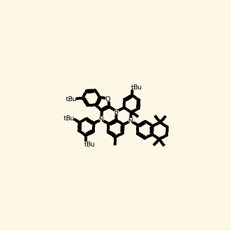 Cc1cc2c3c(c1)N(c1ccc4c(c1)C(C)(C)CCC4(C)C)C1(C)C=CC(C(C)(C)C)=CC1B3c1oc3ccc(C(C)(C)C)cc3c1N2c1cc(C(C)(C)C)cc(C(C)(C)C)c1